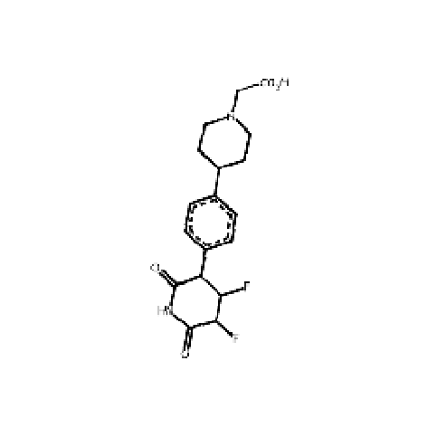 O=C(O)CN1CCC(c2ccc(C3C(=O)NC(=O)C(F)C3F)cc2)CC1